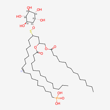 CCCCCCCCCCCCCC(=O)OCC(CC(CCCCCC/C=C\CCCCCCCCP(=O)(O)O)SO[C@@H]1[C@@H](O)[C@H](O)[C@@H](O)[C@H](O)[C@@H]1O)OC(=O)CCCCCCCCCCCCC